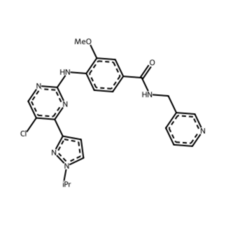 COc1cc(C(=O)NCc2cccnc2)ccc1Nc1ncc(Cl)c(-c2ccn(C(C)C)n2)n1